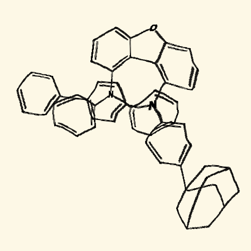 c1ccc(-c2ccc(N(c3ccc(C45CC6CC(CC(C6)C4)C5)cc3)c3cccc4oc5cccc(N(c6ccccc6)c6ccccc6)c5c34)cc2)cc1